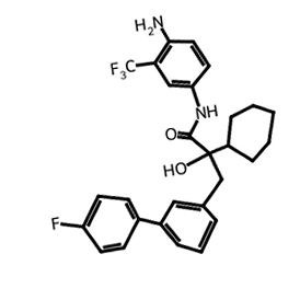 Nc1ccc(NC(=O)C(O)(Cc2cccc(-c3ccc(F)cc3)c2)C2CCCCC2)cc1C(F)(F)F